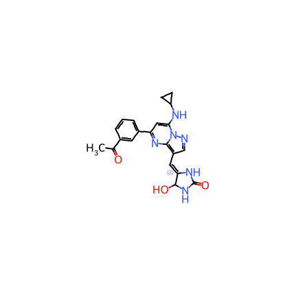 CC(=O)c1cccc(-c2cc(NC3CC3)n3ncc(/C=C4\NC(=O)NC4O)c3n2)c1